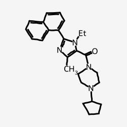 CCn1c(-c2cccc3ccccc23)nc(C)c1C(=O)N1CCN(C2CCCC2)CC1